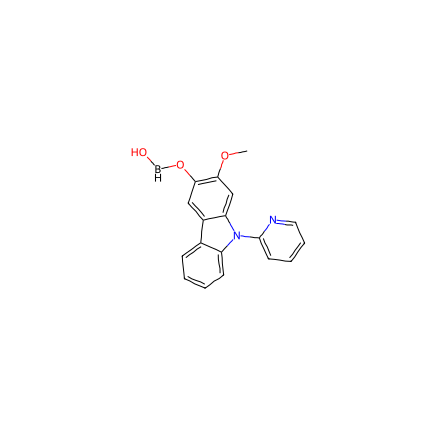 COc1cc2c(cc1OBO)c1ccccc1n2-c1ccccn1